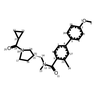 COc1ccc(-c2ccc(C(=O)N(C)C[C@@H]3CCN(C(=O)C4CC4)C3)c(C)c2)cc1